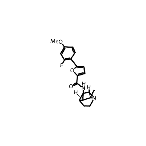 COc1ccc(-c2ccc(C(=O)N[C@@H]3C4CCN(CC4)[C@H]3C)o2)c(F)c1